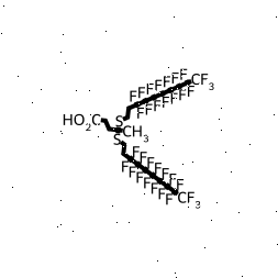 CC(CCC(=O)O)(SCCC(F)(F)C(F)(F)C(F)(F)C(F)(F)C(F)(F)C(F)(F)C(F)(F)C(F)(F)F)SCCC(F)(F)C(F)(F)C(F)(F)C(F)(F)C(F)(F)C(F)(F)C(F)(F)C(F)(F)F